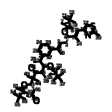 C/C(=C\C[C@H](O[Si](C)(C)C(C)(C)C)/C(C)=C/c1csc(C)n1)c1cccc([C@H](C)[C@H](O[Si](C)(C)C(C)(C)C)[C@@H](C)C(=O)C(C)(C)[C@H](CC=O)O[Si](C)(C)C(C)(C)C)c1